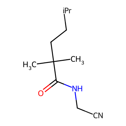 CC(C)CCC(C)(C)C(=O)NCC#N